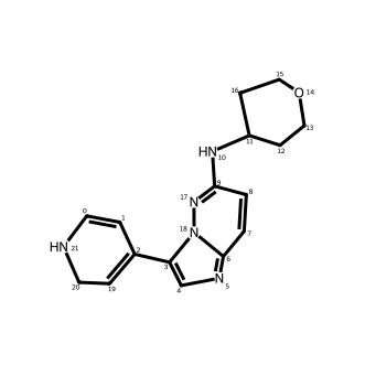 C1=CC(c2cnc3ccc(NC4CCOCC4)nn23)=CCN1